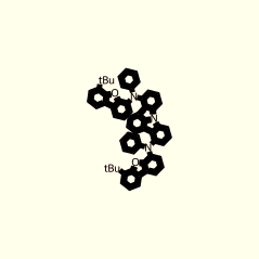 CC(C)(C)c1cccc2c1oc1c(N(c3ccccc3)c3cccc4c3c3cccc5c6c(N(c7ccccc7)c7cccc8c7oc7c(C(C)(C)C)cccc78)cccc6n4c35)cccc12